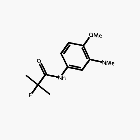 CNc1cc(NC(=O)C(C)(C)F)ccc1OC